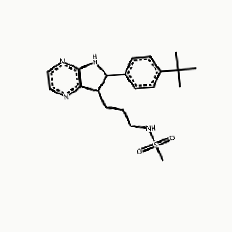 CC(C)(C)c1ccc(C2Nc3nccnc3C2CCCNS(C)(=O)=O)cc1